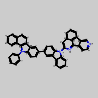 c1ccc(-n2c3ccc(-c4ccc5c(c4)c4ccccc4n5-c4cc5cccc6c5c(n4)-c4ccncc4-6)cc3c3ccc4ccccc4c32)cc1